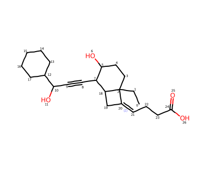 CCC12CCC(O)C(C#CC(O)C3CCCCC3)C1C/C2=C/CCC(=O)O